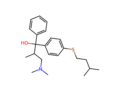 CC(C)CCSc1ccc(C(O)(c2ccccc2)C(C)CN(C)C)cc1